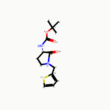 CC(C)(C)OC(=O)N[C@H]1CCN(Cc2cccs2)C1=O